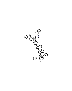 C/C=C1\C(=C/CN(c2ccc(-c3ccc4c5ccc6c7c(ccc(c8cccc3c84)c75)C(=O)N(CC(=O)O)C6=O)cc2)c2ccc3c(c2)C(C)(C)c2ccccc2-3)C(C)(C)c2ccccc21